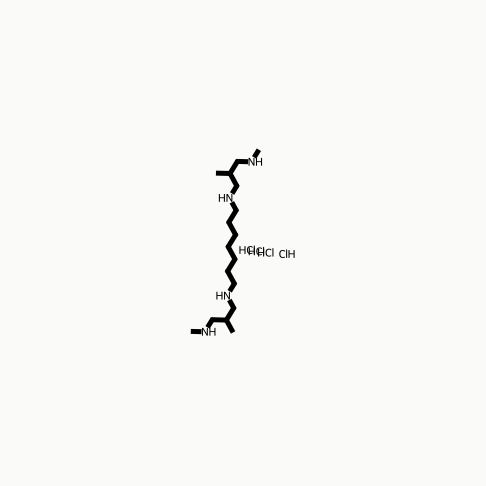 CNCC(C)CNCCCCCCCNCC(C)CNC.Cl.Cl.Cl.Cl